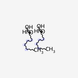 CCCCC/C=C\C/C=C\C/C=C\C/C=C\CCCC(=O)NCCO.CCCCC/C=C\C/C=C\C/C=C\C/C=C\CCCC(=O)NCCO